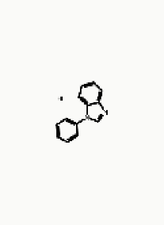 I.c1ccc(-n2cnc3ccccc32)cc1